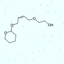 OCCOC/C=C\COC1CCCCO1